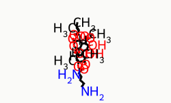 COC(=O)C1[C@@H](O)[C@H](O)C2[C@]3(CO)[C@H]1[C@@H](OC(=O)C=C(C)C)C(=O)O[C@@H]3C[C@H]1C(C)=C(OC(=O)[C@@H](N)CCCCN)C(=O)C[C@]21C